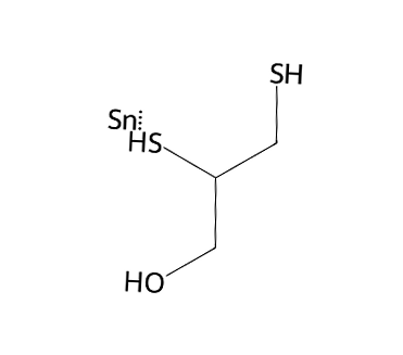 OCC(S)CS.[Sn]